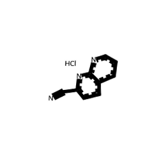 Cl.N#Cc1ccc2cccnc2n1